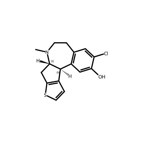 CN1CCc2cc(Cl)c(O)cc2[C@H]2c3ccsc3C[C@@H]21